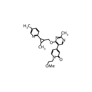 COCCn1ccc(-c2cnc(C)nc2OCC2C(C)C2c2ccc(C)cn2)cc1=O